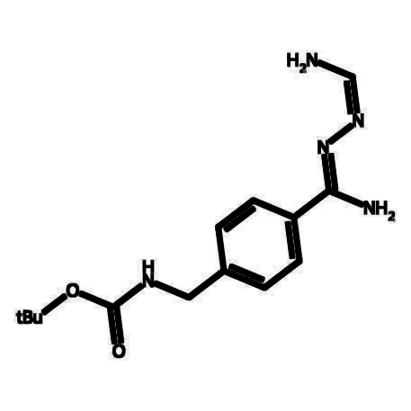 CC(C)(C)OC(=O)NCc1ccc(/C(N)=N/N=C\N)cc1